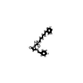 O=C(CN1C(=O)C[C@H]1SCc1ccccc1)NCCCCCCc1ccccc1